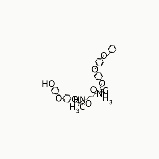 C[C@@H](COc1ccc(Oc2ccc(O)cc2)cc1)NC(=O)CCC(=O)N[C@@H](C)COc1ccc(Oc2ccc(OCc3ccccc3)cc2)cc1